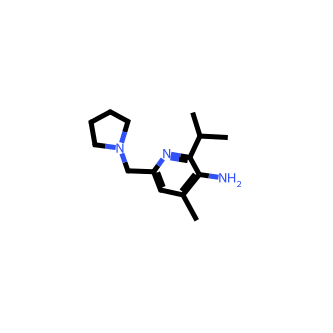 Cc1cc(CN2CCCC2)nc(C(C)C)c1N